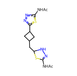 CC(=O)NC1=NNC(CC2CC(c3nnc(NC(C)=O)s3)C2)S1